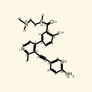 Cc1nccc(-c2ccc(F)c(C(=O)N(C)CCN(C)C)c2)c1C#Cc1ccc(N)nc1